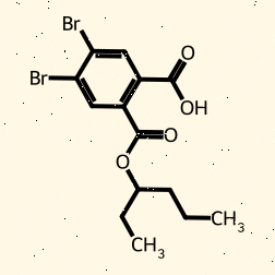 CCCC(CC)OC(=O)c1cc(Br)c(Br)cc1C(=O)O